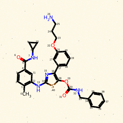 Cc1ccc(C(=O)NC2CC2)cc1Nc1nc(-c2cccc(OCCCN)c2)c(OC(=O)NCc2ccccc2)s1